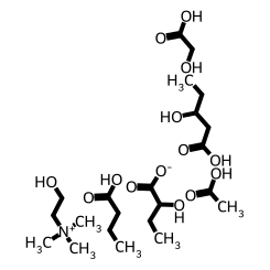 CC(=O)O.CCC(O)C(=O)[O-].CCC(O)CC(=O)O.CCCC(=O)O.C[N+](C)(C)CCO.O=C(O)CO